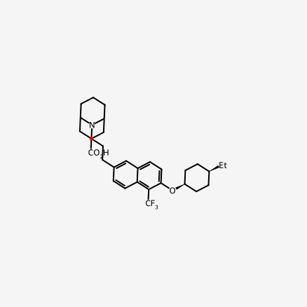 CC[C@H]1CC[C@@H](Oc2ccc3cc(CCCN4C5CCCC4CC(C(=O)O)C5)ccc3c2C(F)(F)F)CC1